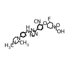 C[C@H]1CN(C)CCN1c1ccc(Nc2ncnc(-c3ccc(O[C@H]4CCN(C(=O)CO)C[C@@H]4F)c(C#N)c3)n2)cc1